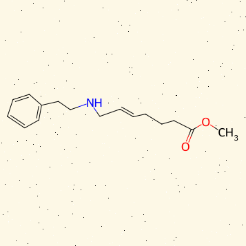 COC(=O)CCC/C=C/CNCCc1ccccc1